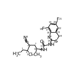 CCC(Cl)C(C#N)CC(C)NC(=O)NC1=Nc2c(F)cc(F)cc2CS1